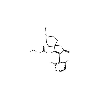 CCOC(=O)OC1=C(c2c(F)cccc2Cl)C(=O)OC12CCN(OC)CC2